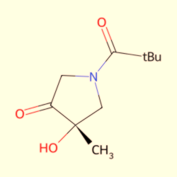 CC(C)(C)C(=O)N1CC(=O)[C@@](C)(O)C1